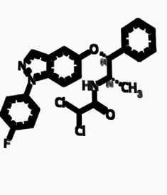 C[C@H](NC(=O)C(Cl)Cl)[C@H](Oc1ccc2c(cnn2-c2ccc(F)cc2)c1)c1ccccc1